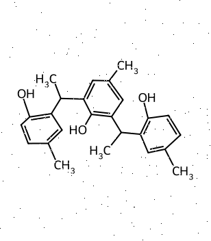 Cc1ccc(O)c(C(C)c2cc(C)cc(C(C)c3cc(C)ccc3O)c2O)c1